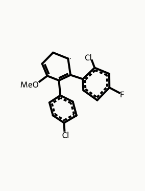 COC1=CC[CH]C(c2ccc(F)cc2Cl)=C1c1ccc(Cl)cc1